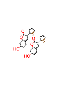 O=c1oc2cc(O)ccc2cc1-c1cccs1.O=c1oc2cc(O)ccc2cc1-c1cccs1